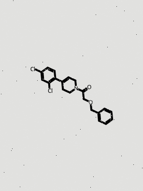 O=C(COCc1ccccc1)N1CC=C(c2ccc(Cl)cc2Cl)CC1